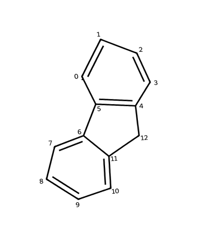 [c]1cccc2c1-c1ccccc1C2